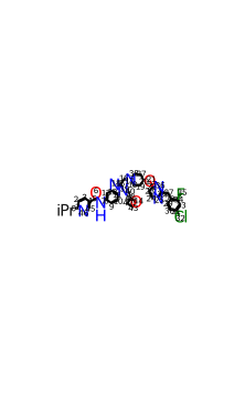 CC(C)c1ccc(C(=O)Nc2ccc3c(c2)nc(CN2CCC(Oc4ccnc(Cc5ccc(Cl)cc5F)n4)CC2)n3C[C@@H]2CCO2)cn1